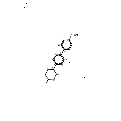 CCCCCCCCc1ccc(-c2ccc(C3CCC(F)CC3)cc2)cc1